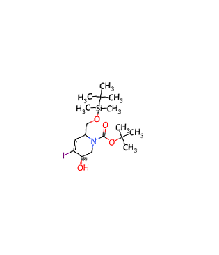 CC(C)(C)OC(=O)N1C[C@@H](O)C(I)=CC1CO[Si](C)(C)C(C)(C)C